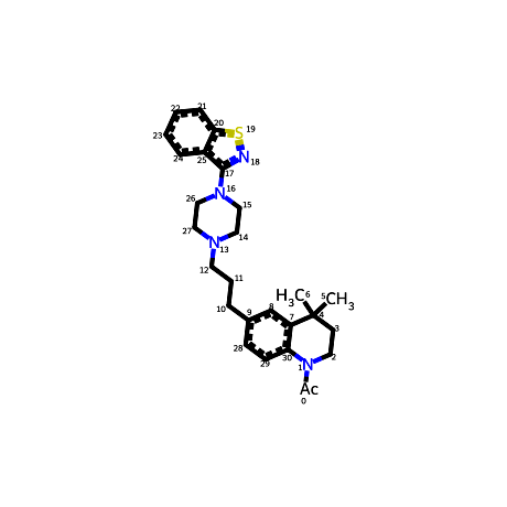 CC(=O)N1CCC(C)(C)c2cc(CCCN3CCN(c4nsc5ccccc45)CC3)ccc21